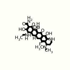 CCN[C@@H]1C(O)=C(C(N)=O)C(=O)[C@@]2(O)C(O)=C3C(=O)c4c(O)c5c(c(F)c4C[C@H]3C[C@@H]12)C(N(C)C)CCN5